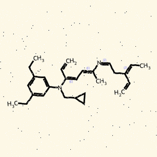 C=C/C(=C\C)C\C=N/C(C)=C/C=C(\C=C)N(CC1CC1)c1cc(CC)cc(CC)c1